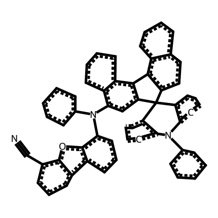 N#Cc1cccc2c1oc1c(N(c3ccccc3)c3cc4c(c5ccccc35)-c3c(ccc5ccccc35)C43c4ccccc4N(c4ccccc4)c4ccccc43)cccc12